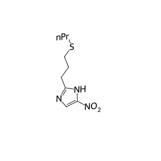 CCCSCCCc1ncc([N+](=O)[O-])[nH]1